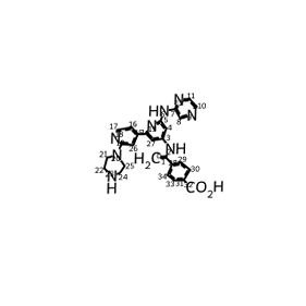 C=C(Nc1cc(Nc2cnccn2)nc(-c2ccnc(N3CCNCC3)c2)c1)c1ccc(C(=O)O)cc1